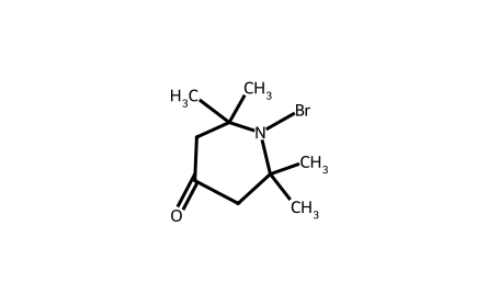 CC1(C)CC(=O)CC(C)(C)N1Br